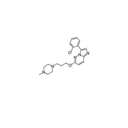 CN1CCN(CCCOc2ccc3ncc(-c4ccccc4Cl)n3n2)CC1